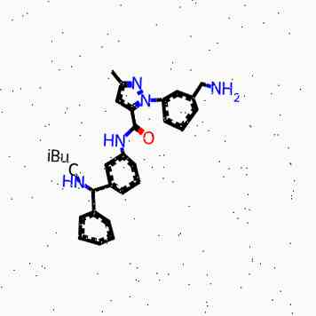 CCC(C)CNC(c1ccccc1)c1cccc(NC(=O)c2cc(C)nn2-c2cccc(CN)c2)c1